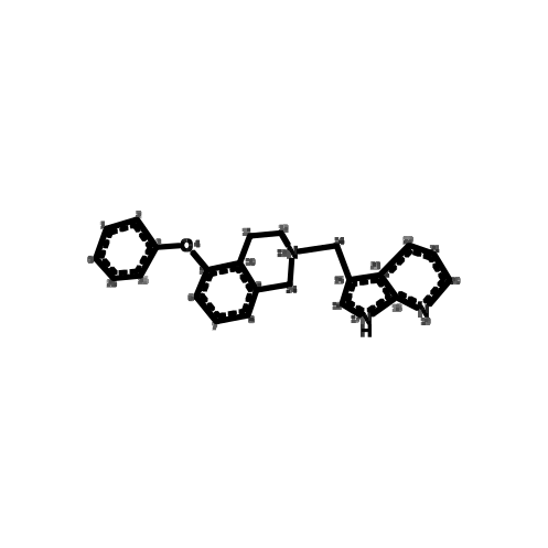 c1ccc(Oc2cccc3c2CCN(Cc2c[nH]c4ncccc24)C3)cc1